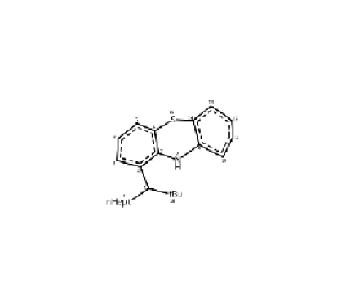 CCCCCCCC(c1cccc2c1Nc1ccccc1S2)C(C)(C)C